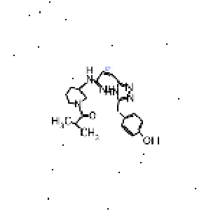 CC(C)C(=O)N1CCCC(NC(=N)/C=C\c2nnc(Cc3ccc(O)cc3)[nH]2)C1